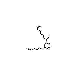 CC(C)(C)CCCCC/C(=C\I)c1cccc(CCCCCC(C)(C)C)c1